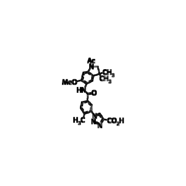 COc1cc2c(cc1NC(=O)c1ccc(C)c(-n3cc(C(=O)O)nn3)c1)C(C)(C)CN2C(C)=O